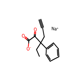 C#CCC(CC)(C(=O)C(=O)[O-])c1ccccc1.[Na+]